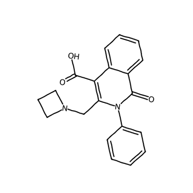 O=C(O)c1c(CN2CCC2)n(-c2ccccc2)c(=O)c2ccccc12